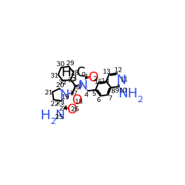 CC(=O)N(Cc1ccc2c(N)nccc2c1)C(C(=O)N1CCC[C@H]1C(N)=O)C1CCCCC1